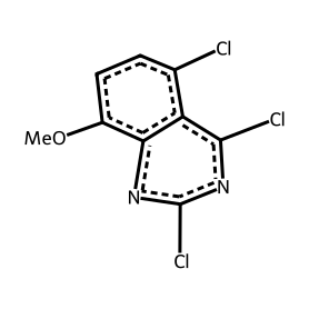 COc1ccc(Cl)c2c(Cl)nc(Cl)nc12